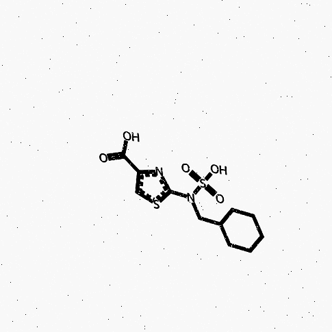 O=C(O)c1csc(N(CC2CCCCC2)S(=O)(=O)O)n1